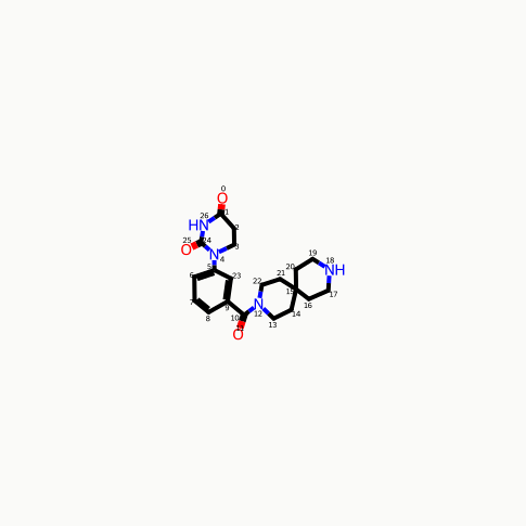 O=C1CCN(c2cccc(C(=O)N3CCC4(CCNCC4)CC3)c2)C(=O)N1